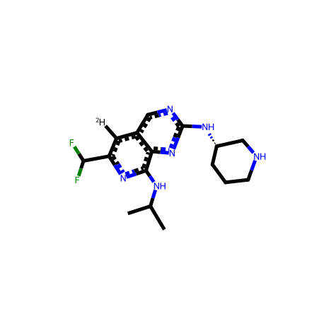 [2H]c1c(C(F)F)nc(NC(C)C)c2nc(N[C@H]3CCCNC3)ncc12